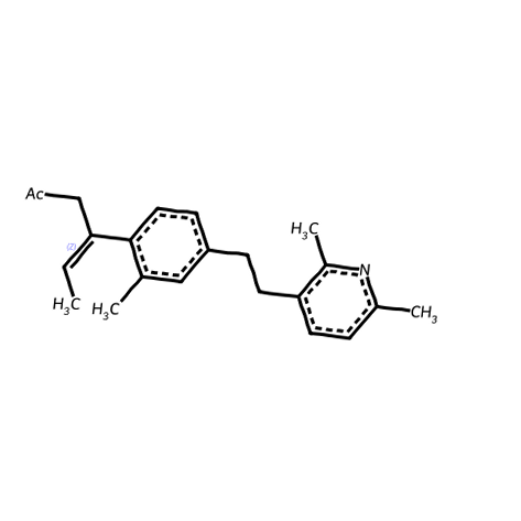 C/C=C(/CC(C)=O)c1ccc(CCc2ccc(C)nc2C)cc1C